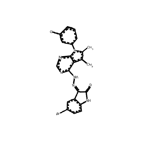 Cc1c(C)n(-c2cccc(Cl)c2)c2ncnc(N/N=C3\C(=O)Nc4ccc(Br)cc43)c12